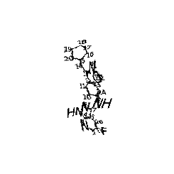 Fc1cnc2[nH]nc(Nc3ccc4c(CC5CCCCC5)noc4c3)c2c1